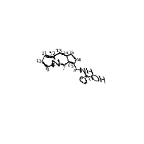 O=C(O)NCC1=C2Cn3cccc3C=C2C=C1